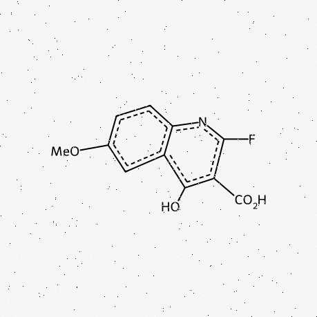 COc1ccc2nc(F)c(C(=O)O)c(O)c2c1